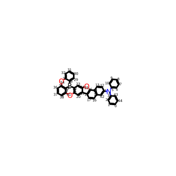 c1ccc(N(c2ccccc2)c2ccc3c(ccc4c5cc6c(cc5oc34)B3c4ccccc4Oc4cccc(c43)O6)c2)cc1